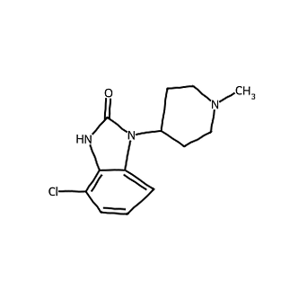 CN1CCC(n2c(=O)[nH]c3c(Cl)cccc32)CC1